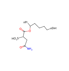 CCCCCCCCCCCCCCC(CCC)OC(=O)C(CC(N)=O)S(=O)(=O)O